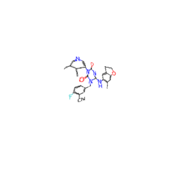 Cc1cc2c(cc1Nc1nc(=O)n(C3=CN=CC(C)C3C)c(=O)n1Cc1ccc(F)c(C#N)c1)CCO2